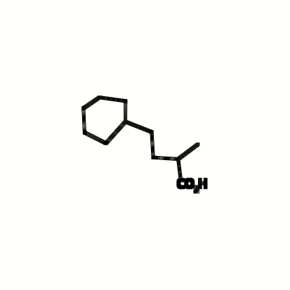 CC(CCC1CCCCC1)C(=O)O